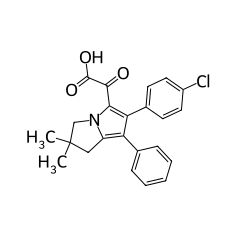 CC1(C)Cc2c(-c3ccccc3)c(-c3ccc(Cl)cc3)c(C(=O)C(=O)O)n2C1